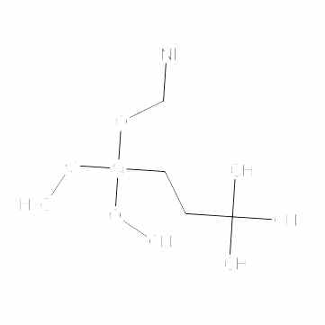 CO[Si](CCC(C)(C)C)(OC)OCN